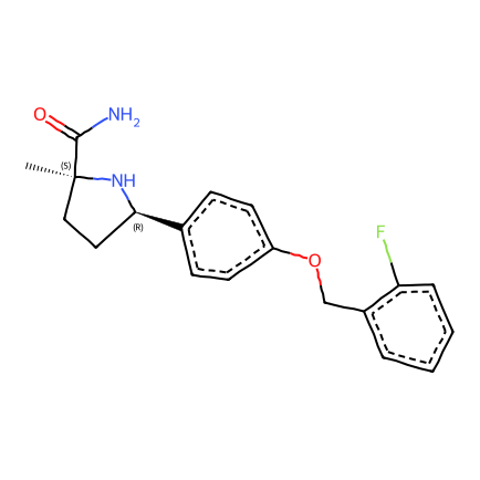 C[C@@]1(C(N)=O)CC[C@H](c2ccc(OCc3ccccc3F)cc2)N1